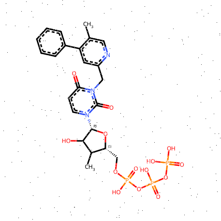 Cc1cnc(Cn2c(=O)ccn([C@@H]3O[C@H](COP(=O)(O)OP(=O)(O)OP(=O)(O)O)C(C)C3O)c2=O)cc1-c1ccccc1